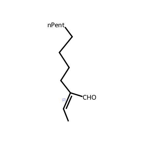 C/C=C(\C=O)CCCCCCCCC